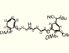 CCCCC(C#N)c1cc(OC)c(OC)c(OCCCCNCCOc2ccccc2OC)c1